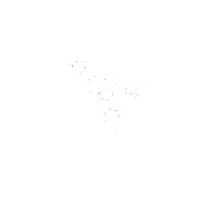 Cc1cc(Nc2nc(-c3ccc(Cl)cc3)nc3c2CCN(Cc2ccccc2)C3)n[nH]1